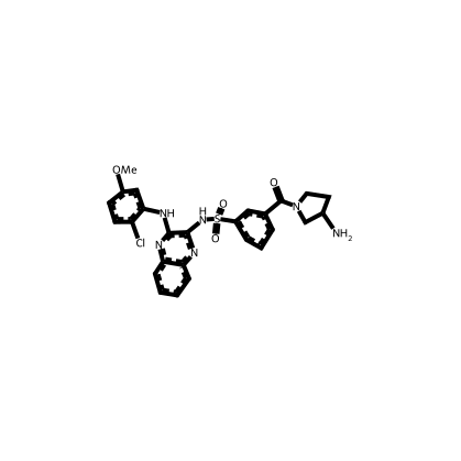 COc1ccc(Cl)c(Nc2nc3ccccc3nc2NS(=O)(=O)c2cccc(C(=O)N3CCC(N)C3)c2)c1